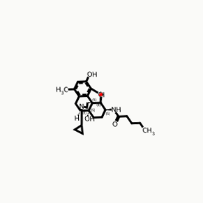 CCCCC(=O)N[C@H]1CC[C@@]2(O)[C@H]3Cc4c(C)cc(O)c5c4[C@@]2(CCN3C2CC2)[C@H]1O5